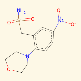 NS(=O)(=O)Cc1cc([N+](=O)[O-])ccc1N1CCOCC1